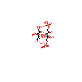 O=C(CO)[C@H](O)[C@H](O)CO.O=C(COP(=O)(O)O)[C@H](O)[C@H](O)COP(=O)(O)O